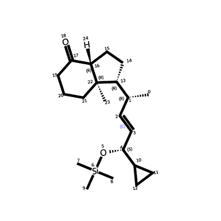 C[C@H](/C=C/[C@@H](O[Si](C)(C)C)C1CC1)[C@H]1CC[C@H]2C(=O)CCC[C@]12C